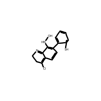 ONc1c(-c2ccccc2S)ccc2c1=NCCC=2Cl